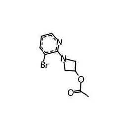 CC(=O)OC1CN(c2ncccc2Br)C1